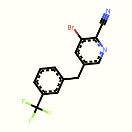 N#Cc1ncc(Cc2cccc(C(F)(F)F)c2)cc1Br